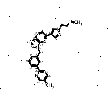 COCCn1cc(-c2cnc3nnn(Cc4cccc(-c5ncc(C)cn5)c4)c3n2)cn1